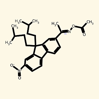 CC(=O)O/N=C(\C)c1ccc2c(c1)C(CCC(C)C)(CCC(C)C)c1cc([N+](=O)[O-])ccc1-2